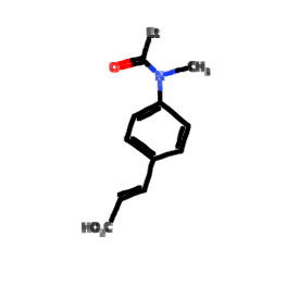 CCC(=O)N(C)c1ccc(/C=C/C(=O)O)cc1